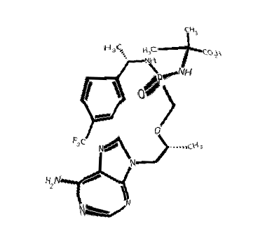 C[C@H](Cn1cnc2c(N)ncnc21)OCP(=O)(N[C@@H](C)c1ccc(C(F)(F)F)cc1)NC(C)(C)C(=O)O